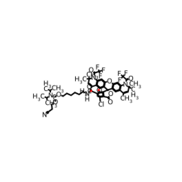 CC1=CC(C)(C)N(C(=O)C(F)(F)F)c2cc3c(cc21)C1(OC(=O)c2c(Cl)cc(C(=O)NCCCCCCOP(OCCC#N)N(C(C)C)C(C)C)c(Cl)c21)c1cc2c(cc1O3)N(C(=O)C(F)(F)F)C(C)(C)C=C2C